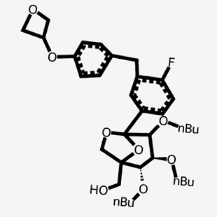 CCCCOC1[C@@H](OCCCC)[C@H](OCCCC)C2(CO)COC1(c1ccc(F)c(Cc3ccc(OC4COC4)cc3)c1)O2